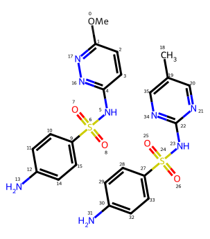 COc1ccc(NS(=O)(=O)c2ccc(N)cc2)nn1.Cc1cnc(NS(=O)(=O)c2ccc(N)cc2)nc1